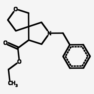 CCOC(=O)C1CN(Cc2ccccc2)CC12CCOC2